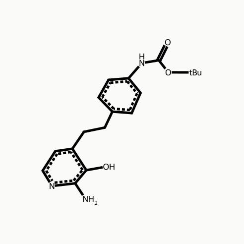 CC(C)(C)OC(=O)Nc1ccc(CCc2ccnc(N)c2O)cc1